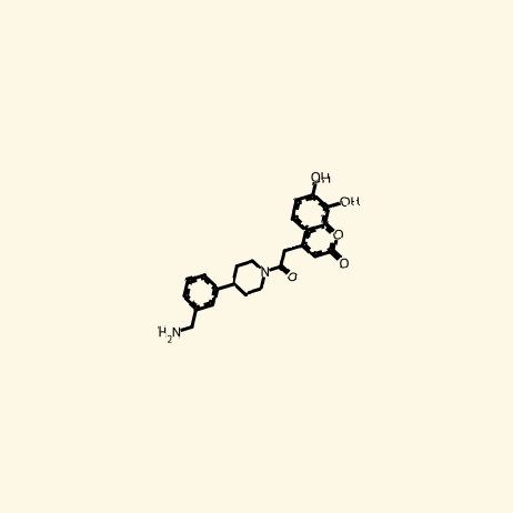 NCc1cccc(C2CCN(C(=O)Cc3cc(=O)oc4c(O)c(O)ccc34)CC2)c1